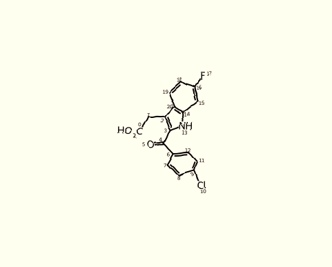 O=C(O)Cc1c(C(=O)c2ccc(Cl)cc2)[nH]c2cc(F)ccc12